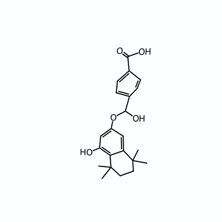 CC1(C)CCC(C)(C)c2c(O)cc(OC(O)c3ccc(C(=O)O)cc3)cc21